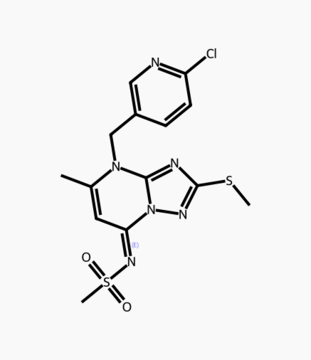 CSc1nc2n(Cc3ccc(Cl)nc3)c(C)c/c(=N\S(C)(=O)=O)n2n1